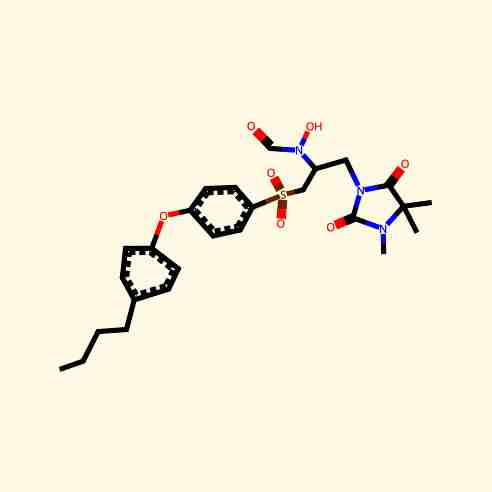 CCCCc1ccc(Oc2ccc(S(=O)(=O)CC(CN3C(=O)N(C)C(C)(C)C3=O)N(O)C=O)cc2)cc1